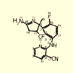 CC1(c2cc(Nc3ncccc3C#N)ccc2F)N=C(N)CC1C(F)(F)F